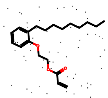 C=CC(=O)OCCOc1ccccc1CCCCCCCCC